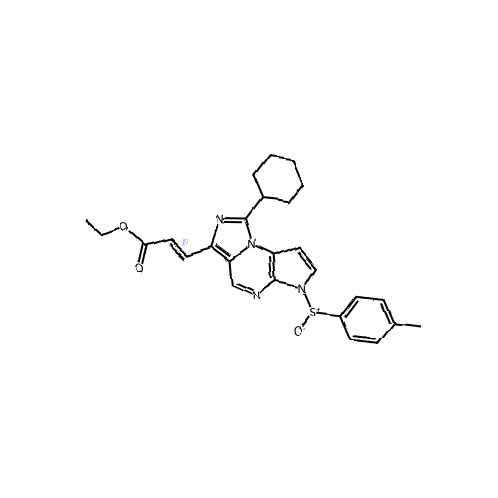 CCOC(=O)/C=C/c1nc(C2CCCCC2)n2c1cnc1c2ccn1[S+]([O-])c1ccc(C)cc1